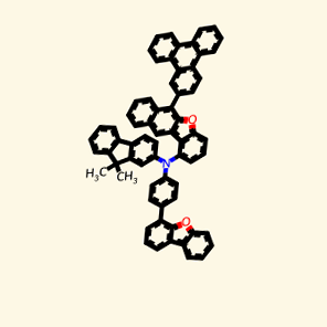 CC1(C)c2ccccc2-c2ccc(N(c3ccc(-c4cccc5c4oc4ccccc45)cc3)c3cccc4oc5c(-c6ccc7c8ccccc8c8ccccc8c7c6)c6ccccc6cc5c34)cc21